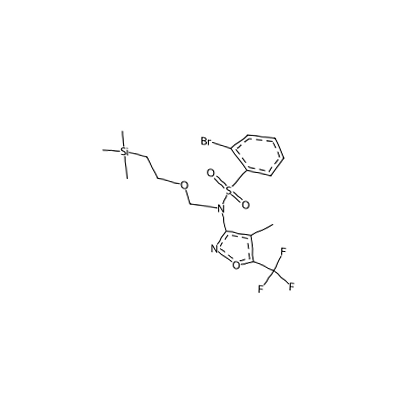 Cc1c(N(COCC[Si](C)(C)C)S(=O)(=O)c2ccccc2Br)noc1C(F)(F)F